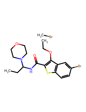 CBr.CCOc1c(C(=O)NC(CC)N2CCOCC2)sc2ccc(Br)cc12